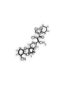 C=NN(C(=O)/C(Cl)=C(\C)N1CCc2c(ncnc2Oc2cccc(C#N)c2C(F)(F)F)C1)C1CCCCO1